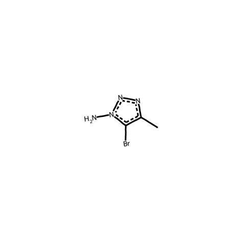 Cc1nnn(N)c1Br